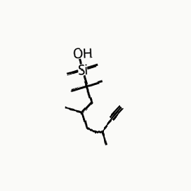 C#CC(C)CC(C)CC(C)(C)[Si](C)(C)O